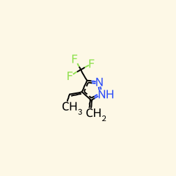 C=c1[nH]nc(C(F)(F)F)/c1=C/C